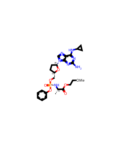 COCCOC(=O)[C@H](C)N[P@](=O)(OC[C@@H]1CC[C@H](n2cnc3c(NC4CC4)nc(N)nc32)O1)Oc1ccccc1